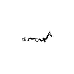 CN(C)CCC(C)(C)CCOCCCC(C)(C)C